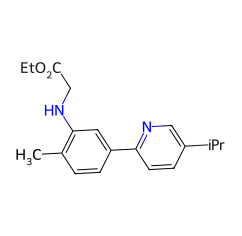 CCOC(=O)CNc1cc(-c2ccc(C(C)C)cn2)ccc1C